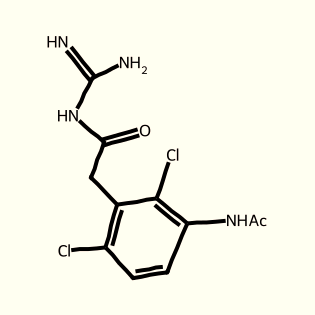 CC(=O)Nc1ccc(Cl)c(CC(=O)NC(=N)N)c1Cl